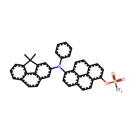 CC1(C)c2cccc3ccc4cc(N(c5ccccc5)c5ccc6ccc7c(OS(=O)(=O)C(F)(F)F)ccc8ccc5c6c87)cc1c4c23